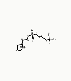 O=S(=O)(CCCCC(F)(F)F)CCC[C@@H]1CCCN1